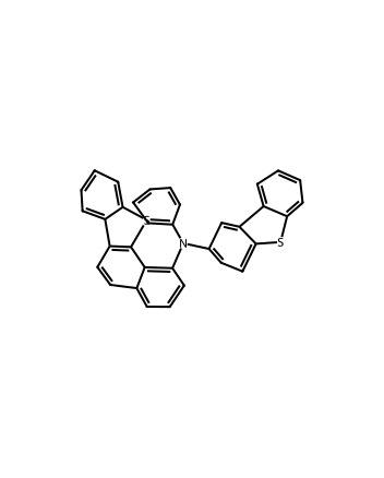 c1ccc(N(c2ccc3sc4ccccc4c3c2)c2cccc3ccc4c5ccccc5sc4c23)cc1